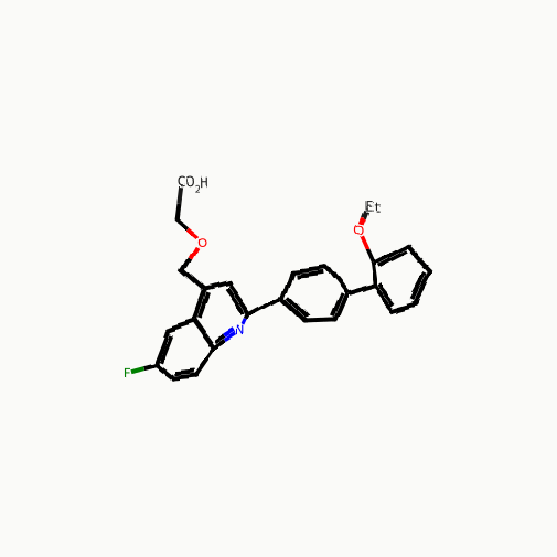 CCOc1ccccc1-c1ccc(-c2cc(COCC(=O)O)c3cc(F)ccc3n2)cc1